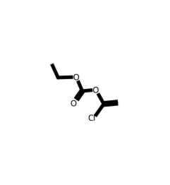 C=C(Cl)OC(=O)OCC